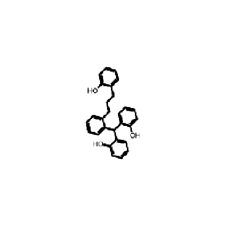 Oc1ccccc1CCCc1ccccc1C(c1ccccc1O)c1ccccc1O